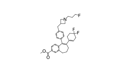 COC(=O)c1ccc2c(c1)CCCC(C1=CCC(F)(F)CC1)=C2c1ccc(CC2CN(CCCF)C2)cc1